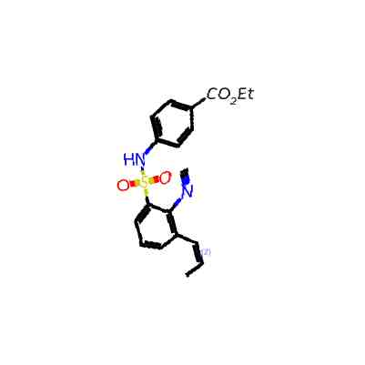 C=Nc1c(/C=C\C)cccc1S(=O)(=O)Nc1ccc(C(=O)OCC)cc1